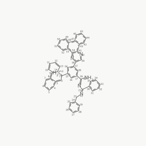 C=C(/C=c1/cccc/c1=C1\C=CC=CC1)c1cc(/C(N)=N/C(=N\Cc2ccccc2)c2ccccc2)cc(-c2cnc3c4ccccc4c4ccccc4c3n2)c1